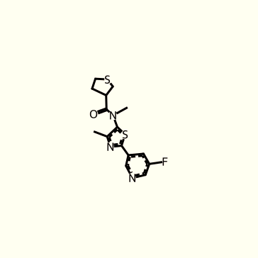 Cc1nc(-c2cncc(F)c2)sc1N(C)C(=O)C1CCSC1